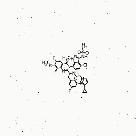 COc1c(F)cc2c(=O)n(-c3ccc(Cl)c4c(NS(C)(=O)=O)nn(C)c34)c([C@H](Cc3cc(F)cc(F)c3)NC(=O)Cn3ccc(C4CC4)n3)nc2c1F